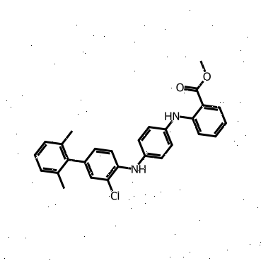 COC(=O)c1ccccc1Nc1ccc(Nc2ccc(-c3c(C)cccc3C)cc2Cl)cc1